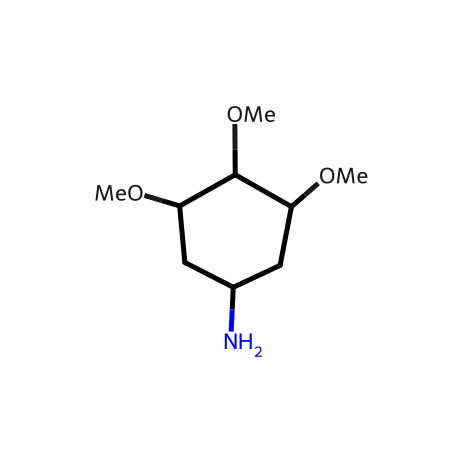 COC1CC(N)CC(OC)C1OC